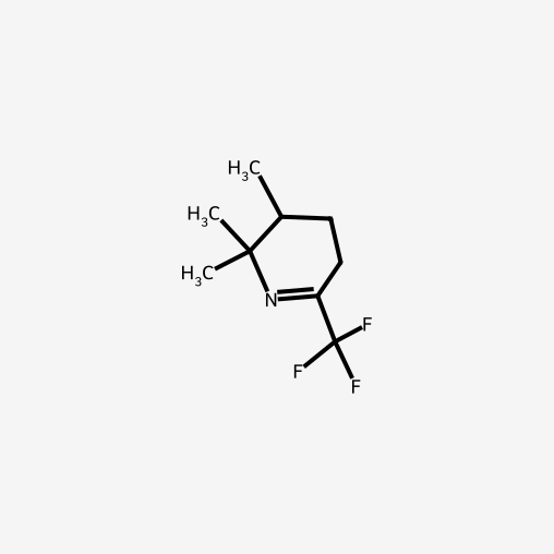 CC1CCC(C(F)(F)F)=NC1(C)C